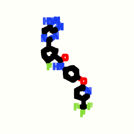 O=C(Nc1ccc(Oc2ccc(C(F)(F)F)cn2)cc1)c1cc(-c2ncc3[nH]nnc3n2)ccc1F